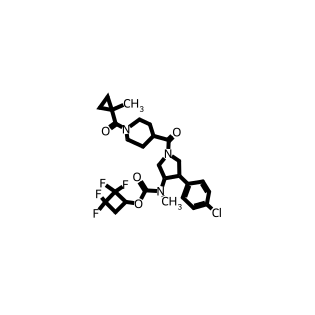 CN(C(=O)OC1CC(F)(F)C1(F)F)C1CN(C(=O)C2CCN(C(=O)C3(C)CC3)CC2)CC1c1ccc(Cl)cc1